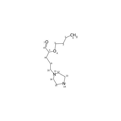 CCCCOC(C=O)CCCN1CC[N]CC1